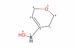 OBC1=CCOCC1